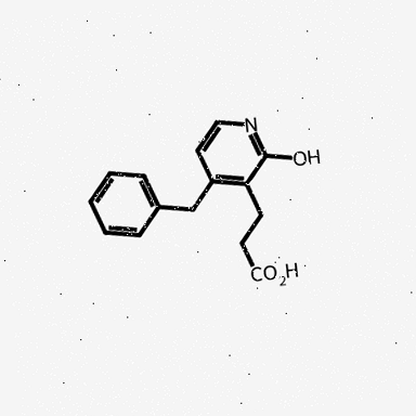 O=C(O)CCc1c(Cc2ccccc2)ccnc1O